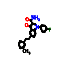 Cc1cccc(CCc2ccc3c(c2)c(=O)c(C(N)=O)cn3-c2ccc(F)cc2)c1